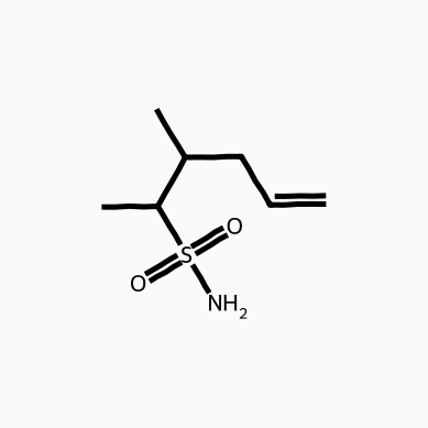 C=CCC(C)C(C)S(N)(=O)=O